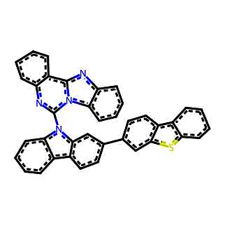 c1ccc2c(c1)nc(-n1c3ccccc3c3ccc(-c4ccc5c(c4)sc4ccccc45)cc31)n1c3ccccc3nc21